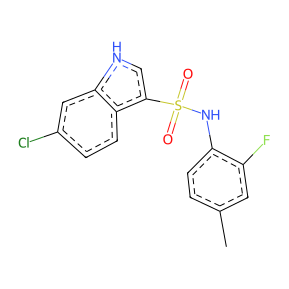 Cc1ccc(NS(=O)(=O)c2c[nH]c3cc(Cl)ccc23)c(F)c1